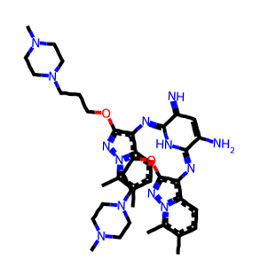 Cc1ccc2c(/N=C3\N/C(=N\c4c(OCCCN5CCN(C)CC5)nn5c(C)c(C)ccc45)C(N)=CC3=N)c(OCCCN3CCN(C)CC3)nn2c1C